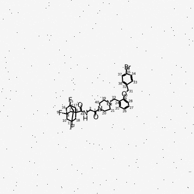 O=C(CNC(=O)C12CC3(F)CC(F)(CC(F)(C3)C1)C2)N1CCN(Cc2ccccc2OCc2ccc(Br)cc2)CC1